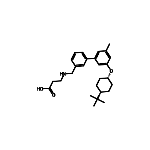 Cc1cc(O[C@H]2CC[C@H](C(C)(C)C)CC2)cc(-c2cccc(CNCCC(=O)O)c2)c1